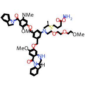 CNc1cc(OCc2cc(COc3cc4c(cc3OC)C(=O)N3c5ccccc5C[C@H]3CN4)cc(N(CCOCCOCCOC)C[C@@H](C)SCCCC(=O)ON)c2)c(OC)cc1C(=O)N1CCc2ccccc21